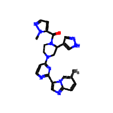 Cn1nccc1C(=O)N1CCN(c2ccnc(-c3cnc4ccc(C(F)(F)F)cn34)n2)CC1c1cn[nH]c1